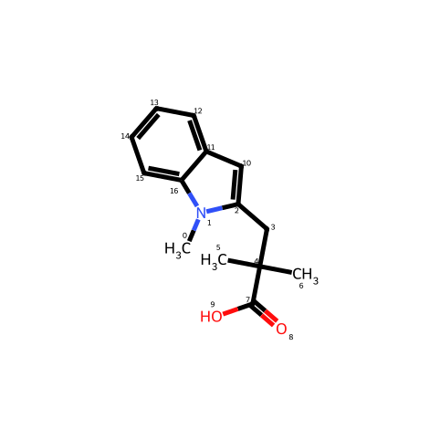 Cn1c(CC(C)(C)C(=O)O)cc2ccccc21